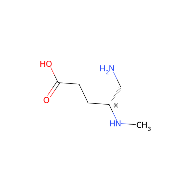 CN[C@@H](CN)CCC(=O)O